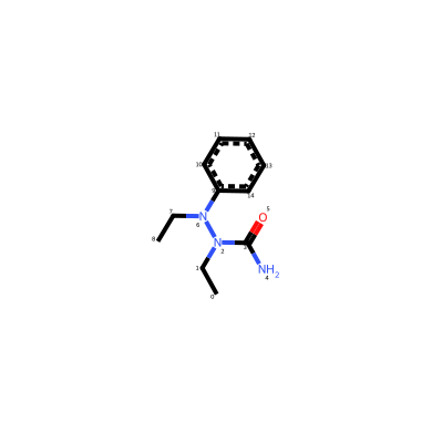 CCN(C(N)=O)N(CC)c1ccccc1